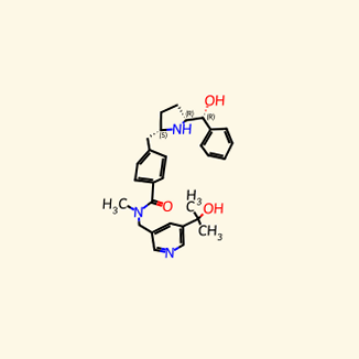 CN(Cc1cncc(C(C)(C)O)c1)C(=O)c1ccc(C[C@@H]2CC[C@H]([C@H](O)c3ccccc3)N2)cc1